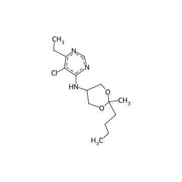 CCCCC1(C)OCC(Nc2ncnc(CC)c2Cl)CO1